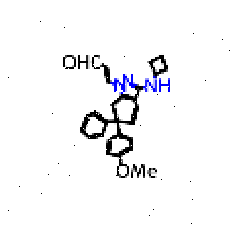 COc1ccc(C2(c3ccccc3)C=Cc3c(NC4CCC4)nn(C=CC=O)c3C2)cc1